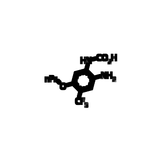 CCCOc1cc(NC(=O)O)c(N)cc1C(F)(F)F